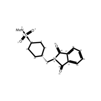 CNS(=O)(=O)[C@H]1CC[C@H](CN2C(=O)c3ccccc3C2=O)CC1